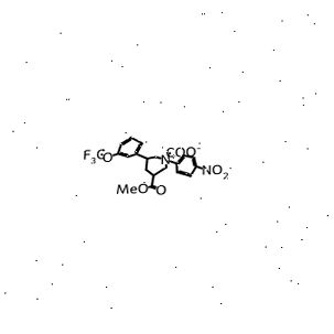 COC(=O)C1CC(c2cccc(OC(F)(F)F)c2)C[N+](C(=O)[O-])(c2ccc([N+](=O)[O-])cc2)C1